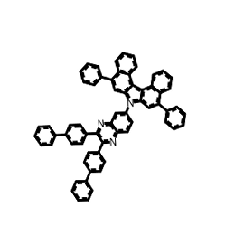 c1ccc(-c2ccc(-c3nc4ccc(-n5c6cc(-c7ccccc7)c7ccccc7c6c6c7ccccc7c(-c7ccccc7)cc65)cc4nc3-c3ccc(-c4ccccc4)cc3)cc2)cc1